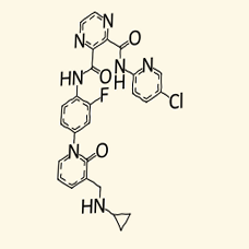 O=C(Nc1ccc(Cl)cn1)c1nccnc1C(=O)Nc1ccc(-n2cccc(CNC3CC3)c2=O)cc1F